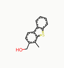 Cc1c(CO)ccc2c1sc1ccccc12